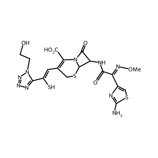 CON=C(C(=O)NC1C(=O)N2C(C(=O)O)=C(C=C(S)c3nnnn3CCO)CSC12)c1csc(N)n1